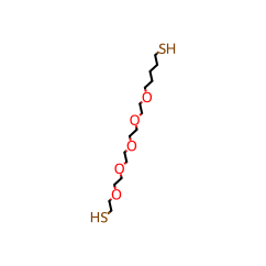 SCCCCCOCCOCCOCCOCCOCCS